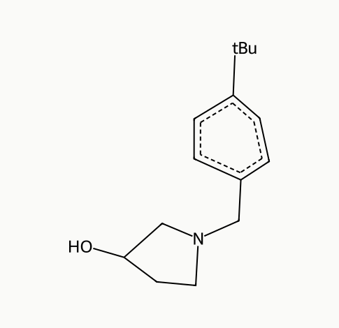 CC(C)(C)c1ccc(CN2CCC(O)C2)cc1